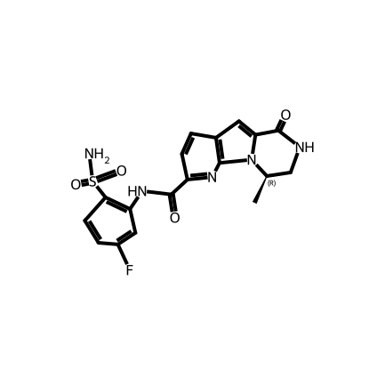 C[C@@H]1CNC(=O)c2cc3ccc(C(=O)Nc4cc(F)ccc4S(N)(=O)=O)nc3n21